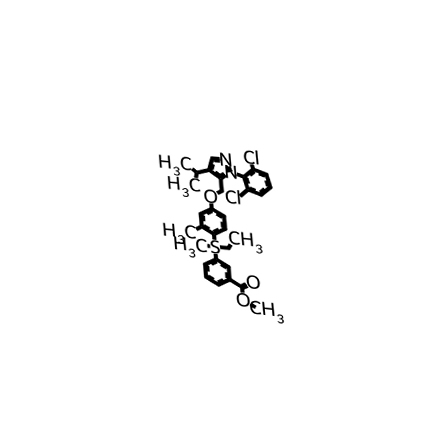 CCS(C)(c1cccc(C(=O)OC)c1)c1ccc(OCc2c(C(C)C)cnn2-c2c(Cl)cccc2Cl)cc1C